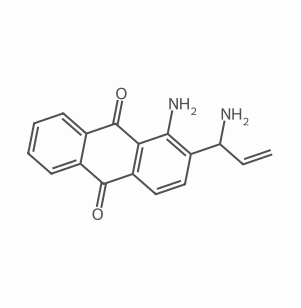 C=CC(N)c1ccc2c(c1N)C(=O)c1ccccc1C2=O